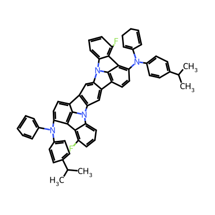 CC(C)c1ccc(N(C2=CCCC=C2)c2ccc3c4cc5c(cc4n4c6cccc(F)c6c2c34)c2ccc(N(c3ccccc3)c3ccc(C(C)C)cc3)c3c4c(F)cccc4n5c23)cc1